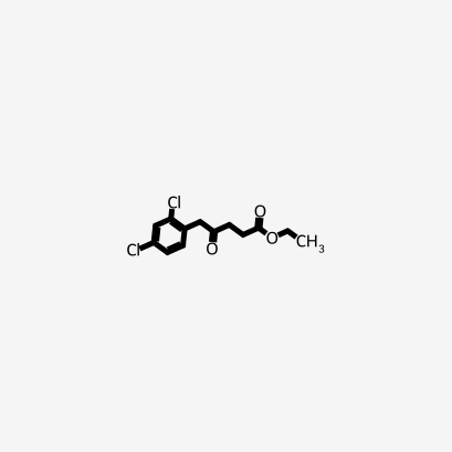 CCOC(=O)CCC(=O)Cc1ccc(Cl)cc1Cl